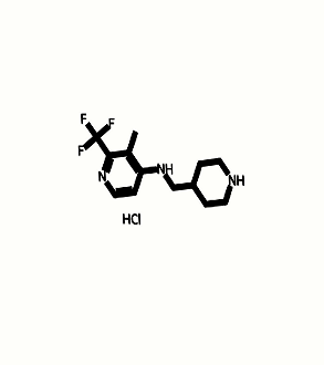 Cc1c(NCC2CCNCC2)ccnc1C(F)(F)F.Cl